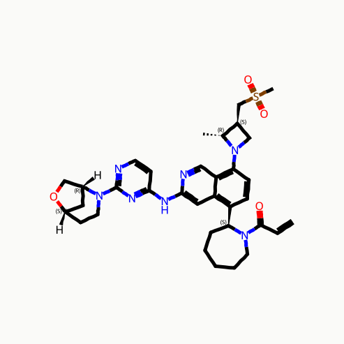 C=CC(=O)N1CCCCC[C@H]1c1ccc(N2C[C@H](CS(C)(=O)=O)[C@H]2C)c2cnc(Nc3ccnc(N4CC[C@H]5C[C@@H]4CO5)n3)cc12